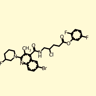 Cc1c(N2CCCC(F)C2)nc2ccc(Br)cc2c1C(=O)NCC(Cl)CCC(=O)Oc1cc(F)ccc1F